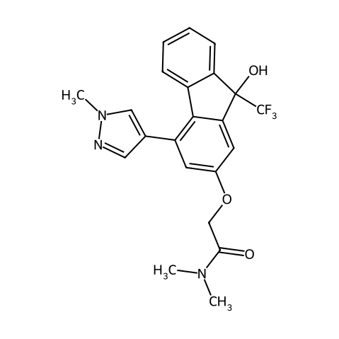 CN(C)C(=O)COc1cc(-c2cnn(C)c2)c2c(c1)C(O)(C(F)(F)F)c1ccccc1-2